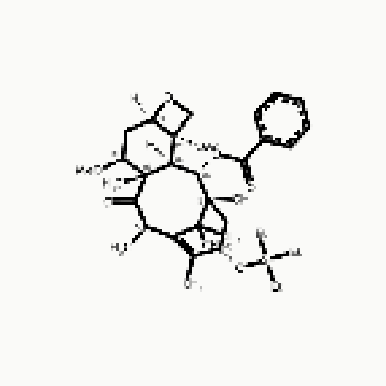 CC[Si](CC)(CC)O[C@H]1C[C@@]2(O)[C@@H](OC(=O)c3ccccc3)[C@@H]3[C@]4(OC(C)=O)CO[C@@H]4C[C@H](OC)[C@@]3(C)C(=O)[C@H](C)C(=C1C)C2(C)C